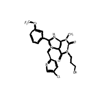 Cn1c2c(c(=O)n(CCCO)c1=O)N(Cc1ccc(Cl)cn1)C(c1cccc(OC(F)(F)F)c1)N2